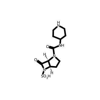 O=C(NC1CCNCC1)N1CC[C@@H]2[C@H]1C(=O)N2S(=O)(=O)O